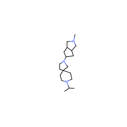 CC(C)N1CCC2(CC1)CCN(C1CC3CN(C)CC3C1)C2